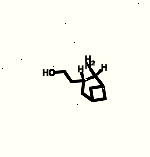 N[C@@H]1C2CC(C2)C[C@@H]1CCO